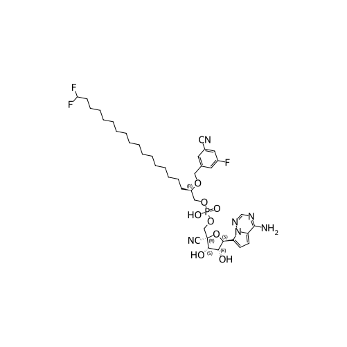 N#Cc1cc(F)cc(CO[C@H](CCCCCCCCCCCCCCCCC(F)F)COP(=O)(O)OC[C@@]2(C#N)O[C@@H](c3ccc4c(N)ncnn34)[C@H](O)[C@@H]2O)c1